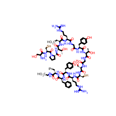 CC(C)C[C@H](NC(=O)[C@H](Cc1ccccc1)NC(=O)[C@H](Cc1ccc(O)cc1)NC(=O)[C@H](CCCNC(=N)N)NC(=O)[C@H](CS)NC(=O)[C@H](CO)NC(=O)CNC(=O)[C@@H](NC(=O)[C@H](Cc1ccc(O)cc1)NC(=O)CNC(=O)[C@H](CCCNC(=N)N)NC(=O)[C@H](CC(=O)O)NC(=O)[C@@H](NC(=O)[C@@H]1CCCN1C(=O)[C@H](CS)NC(=O)[C@@H](N)CO)[C@@H](C)O)[C@@H](C)O)C(=O)NCC(=O)O